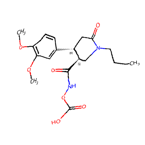 CCCN1C[C@@H](C(=O)NOC(=O)O)[C@H](c2ccc(OC)c(OC)c2)CC1=O